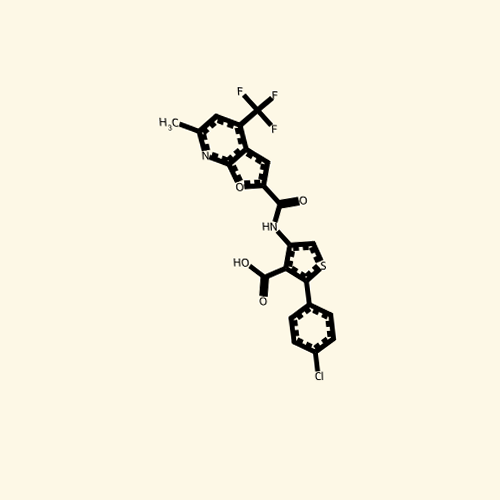 Cc1cc(C(F)(F)F)c2cc(C(=O)Nc3csc(-c4ccc(Cl)cc4)c3C(=O)O)oc2n1